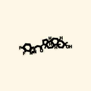 C[C@@]1(O)CC[C@@]2(C)[C@H](CC[C@@H]3[C@@H]2CC[C@]2(C)[C@@H](C(=O)Cn4nnc5c(F)c(F)ccc54)CC[C@@H]32)C1